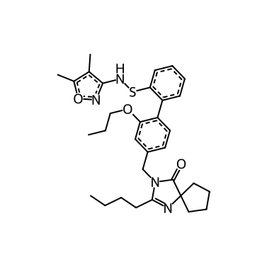 CCCCC1=NC2(CCCC2)C(=O)N1Cc1ccc(-c2ccccc2SNc2noc(C)c2C)c(OCCC)c1